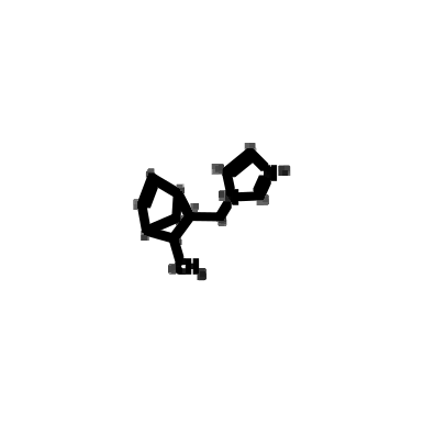 CC1C2C=CC(C2)C1Cn1ccnc1